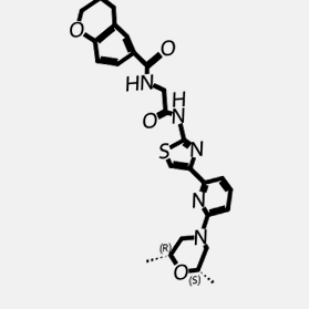 C[C@@H]1CN(c2cccc(-c3csc(NC(=O)CNC(=O)c4ccc5c(c4)CCCO5)n3)n2)C[C@H](C)O1